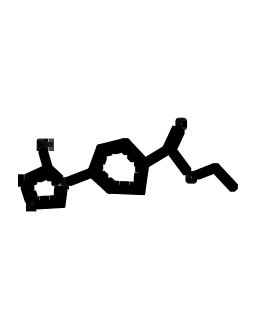 CCOC(=O)c1ccc(-n2cnnc2S)cc1